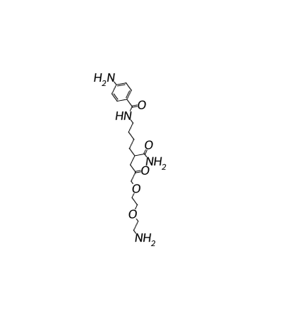 NCCOCCOCC(=O)CC(CCCCNC(=O)c1ccc(N)cc1)C(N)=O